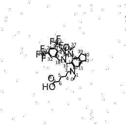 CCN(CCCCC(=O)O)c1cc2c(cc1CN(Cc1cc(C(F)(F)F)cc(C(F)(F)F)c1)c1noc(C)n1)CCC2